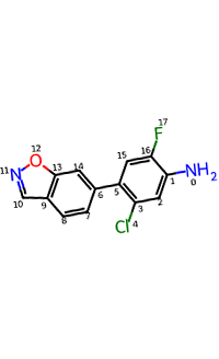 Nc1cc(Cl)c(-c2ccc3cnoc3c2)cc1F